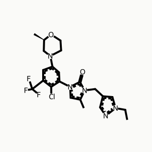 CCn1cc(Cn2c(C)cn(-c3cc(N4CCO[C@H](C)C4)cc(C(F)(F)F)c3Cl)c2=O)cn1